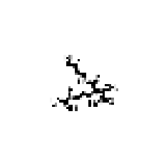 CN(C(=O)O)[C@@H](CCCNC(=N)N)C(=O)NCCCCN